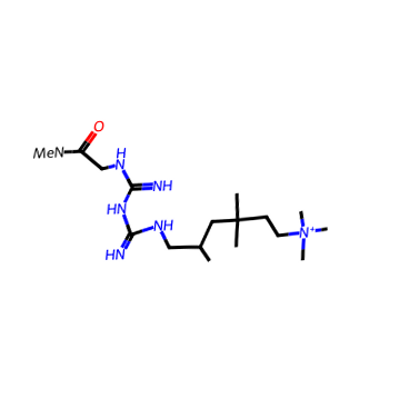 CNC(=O)CNC(=N)NC(=N)NCC(C)CC(C)(C)CC[N+](C)(C)C